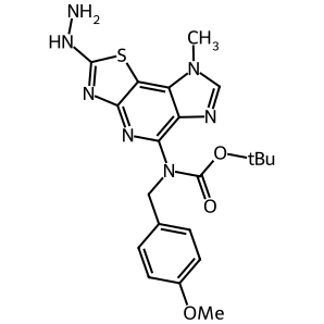 COc1ccc(CN(C(=O)OC(C)(C)C)c2nc3nc(NN)sc3c3c2ncn3C)cc1